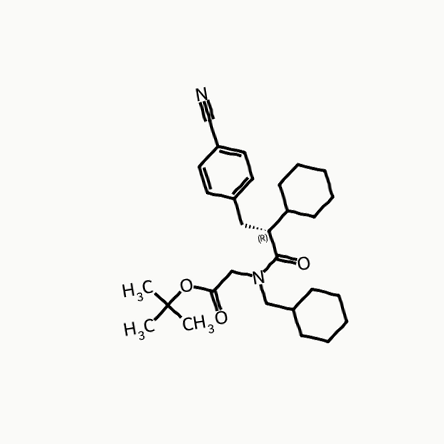 CC(C)(C)OC(=O)CN(CC1CCCCC1)C(=O)[C@H](Cc1ccc(C#N)cc1)C1CCCCC1